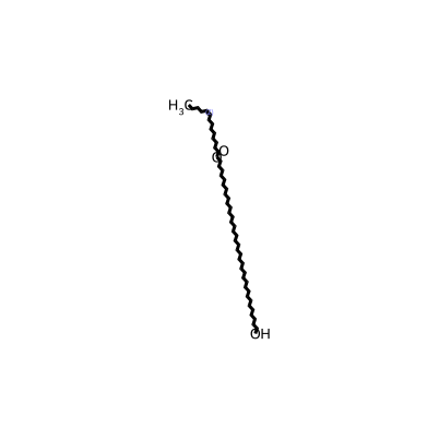 CCCC/C=C\CCCCCCCC(=O)OCCCCCCCCCCCCCCCCCCCCCCCCCCCCCCCCCCCCCO